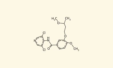 COc1ccc(C(=O)Nc2c(Cl)cncc2Cl)cc1OCCC(C)OC